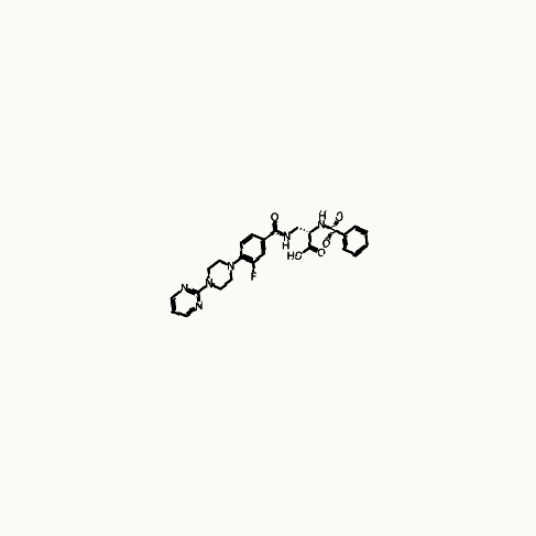 O=C(NC[C@H](NS(=O)(=O)c1ccccc1)C(=O)O)c1ccc(N2CCN(c3ncccn3)CC2)c(F)c1